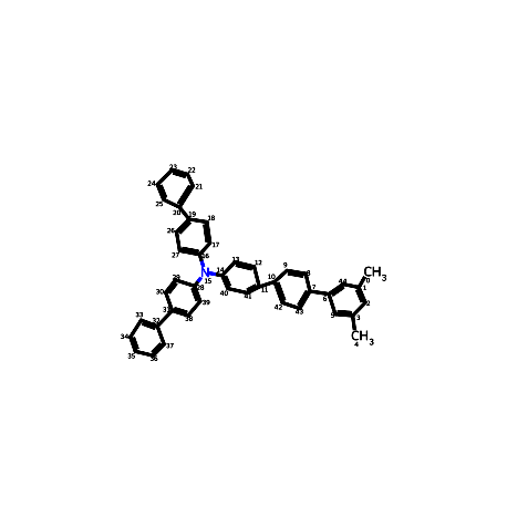 Cc1cc(C)cc(-c2ccc(-c3ccc(N(c4ccc(-c5ccccc5)cc4)c4ccc(-c5ccccc5)cc4)cc3)cc2)c1